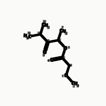 COCC(=O)OC(C)C(=O)C(C)C